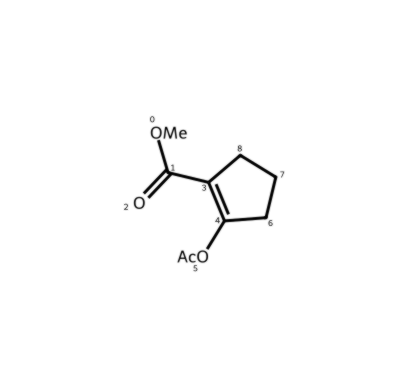 COC(=O)C1=C(OC(C)=O)CCC1